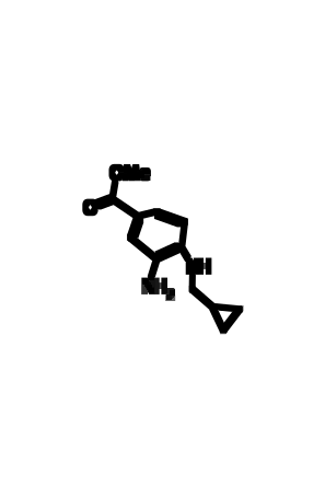 COC(=O)c1ccc(NCC2CC2)c(N)c1